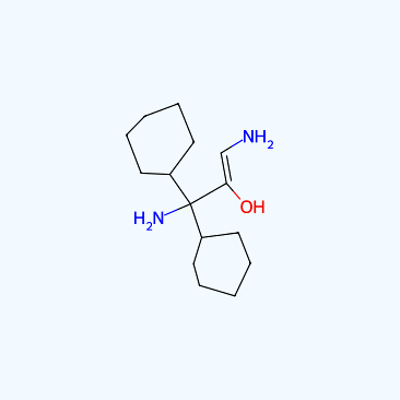 NC=C(O)C(N)(C1CCCCC1)C1CCCCC1